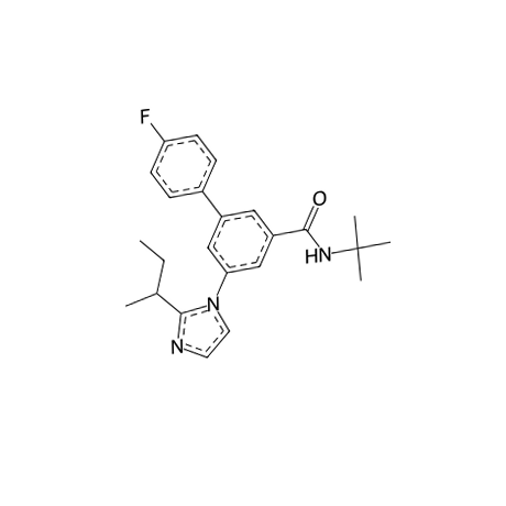 CCC(C)c1nccn1-c1cc(C(=O)NC(C)(C)C)cc(-c2ccc(F)cc2)c1